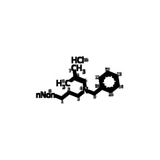 CCCCCCCCCCCCN(C=C(C)C)Cc1ccccc1.Cl